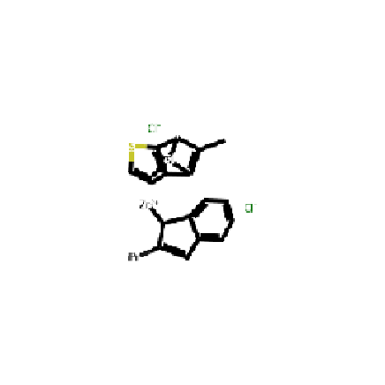 CC(C)C1=Cc2ccccc2[CH]1[Zr+2].CC1=C2c3ccsc3C1[Si]2(C)C.[Cl-].[Cl-]